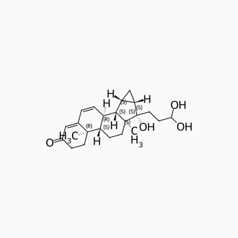 C[C@]12CCC(=O)C=C1C=C[C@H]1[C@@H]3[C@@H]4C[C@@H]4[C@@](O)(CCC(O)O)[C@@]3(C)CC[C@@H]12